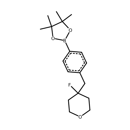 CC1(C)OB(c2ccc(CC3(F)CCOCC3)cc2)OC1(C)C